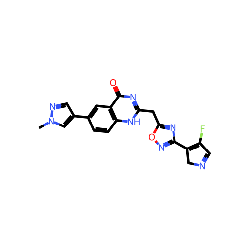 Cn1cc(-c2ccc3[nH]c(Cc4nc(C5=C(F)C=NC5)no4)nc(=O)c3c2)cn1